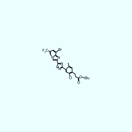 Cc1cc(CCC(=O)OC(C)(C)C)c(Cl)cc1-c1noc(-c2cn3cc(C(F)(F)F)cc(Br)c3n2)n1